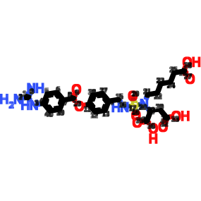 N=C(N)Nc1ccc(C(=O)Oc2ccc(CNS(=O)(=O)N(CCCCCC(=O)O)[C@@H](CC(=O)O)C(=O)O)cc2)cc1